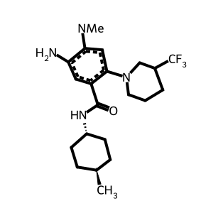 CNc1cc(N2CCCC(C(F)(F)F)C2)c(C(=O)N[C@H]2CC[C@H](C)CC2)cc1N